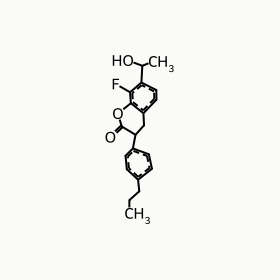 CCCc1ccc(C2Cc3ccc(C(C)O)c(F)c3OC2=O)cc1